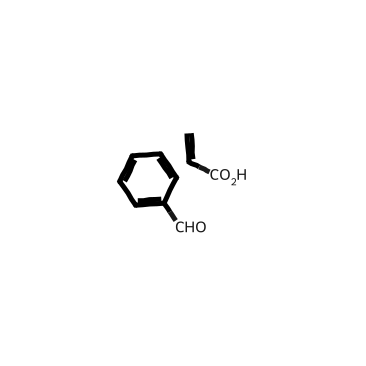 C=CC(=O)O.O=Cc1ccccc1